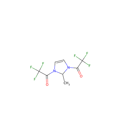 CC1N(C(=O)C(F)(F)F)C=CN1C(=O)C(F)(F)F